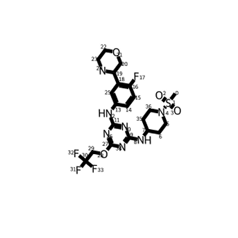 CS(=O)(=O)N1CCC(Nc2nc(Nc3ccc(F)c(C4COCC[N]4)c3)nc(OCC(F)(F)F)n2)CC1